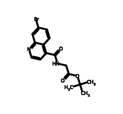 CC(C)(C)OC(=O)CNC(=O)c1ccnc2cc(Br)ccc12